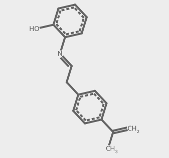 C=C(C)c1ccc(CC=Nc2ccccc2O)cc1